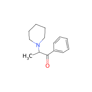 CC(C(=O)c1ccccc1)N1CCCCC1